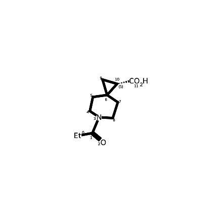 CCC(=O)N1CCC2(CC1)C[C@@H]2C(=O)O